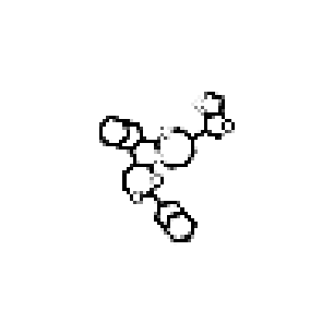 C1CC2CC(C1)CC(C1OCCC(C3C4CCCC(C4)CC3C3OCCCC(C4COC5CCOC54)CO3)CO1)C2